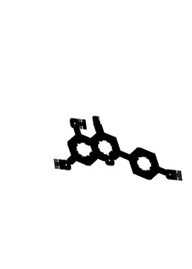 Oc1ccc(-c2cc(=S)c3c(O)cc(O)cc3o2)cc1